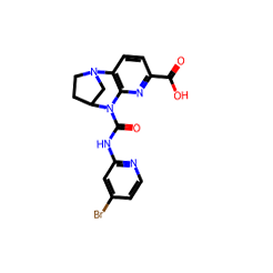 O=C(O)c1ccc2c(n1)N(C(=O)Nc1cc(Br)ccn1)C1CCN2C1